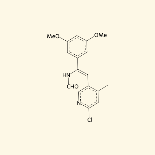 COc1cc(OC)cc(/C(=C/c2cnc(Cl)cc2C)NC=O)c1